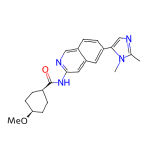 CO[C@H]1CC[C@@H](C(=O)Nc2cc3cc(-c4cnc(C)n4C)ccc3cn2)CC1